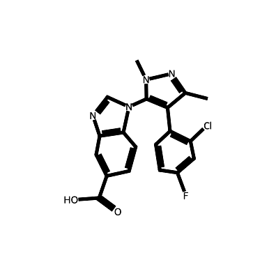 Cc1nn(C)c(-n2cnc3cc(C(=O)O)ccc32)c1-c1ccc(F)cc1Cl